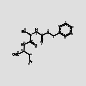 CC[C@H](C)[C@H](NC(=O)OCc1ccccc1)C(=O)NC(C=O)CC(C)C